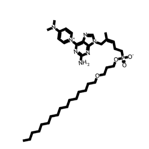 CCCCCCCCCCCCCCCCOCCCOP(=O)([O-])CC/C=C(/C)Cn1cnc2c(-[n+]3ccc(N(C)C)cc3)nc(N)nc21